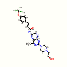 Cc1nc(N2CCN(CCO)CC2)nc2ncc(NC(=O)C=Cc3ccc(OC(F)(F)F)cc3)nc12